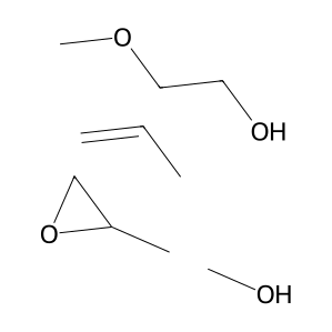 C=CC.CC1CO1.CO.COCCO